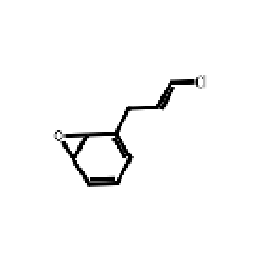 ClC=CCC1=CC=CC2OC12